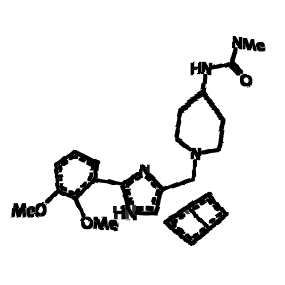 CNC(=O)NC1CCN(Cc2c[nH]c(-c3cccc(OC)c3OC)n2)CC1.c1cc2ccc1-2